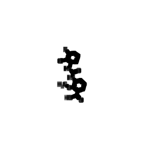 COc1c(NC(=O)Nc2cccc(F)c2Cl)cccc1C(=O)O